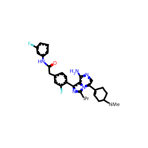 CNC1CC=C(c2cnc(N)c3c(-c4ccc(CC(=O)Nc5cccc(F)c5)cc4F)nc(C(C)C)n23)CC1